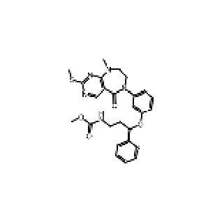 COC(=O)NCCC(Oc1cccc(N2CCN(C)c3nc(SC)ncc3C2=O)c1)c1ccccn1